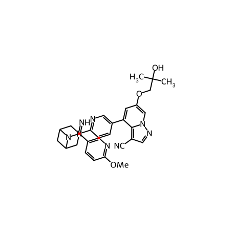 COc1ccc(C(=N)N2C3CC2CN(c2ccc(-c4cc(OCC(C)(C)O)cn5ncc(C#N)c45)cn2)C3)cn1